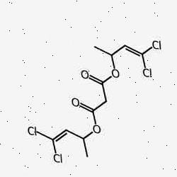 CC(C=C(Cl)Cl)OC(=O)CC(=O)OC(C)C=C(Cl)Cl